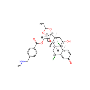 CCCC1O[C@@H]2C[C@H]3[C@@H]4C[C@H](F)C5=CC(=O)C=C[C@]5(C)[C@@]4(F)[C@@H](O)C[C@]3(C)[C@]2(C(=O)COC(=O)c2ccc(CNC(C)C)cc2)O1